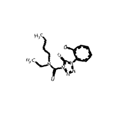 CCCCN(CC)C(=O)n1nnn(-c2ccccc2Cl)c1=O